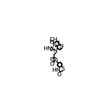 COc1ccc2nccc(N(CCC3CN(c4ccc5c(c4)NC(=O)CS5)C(=O)O3)C3CNC3)c2n1